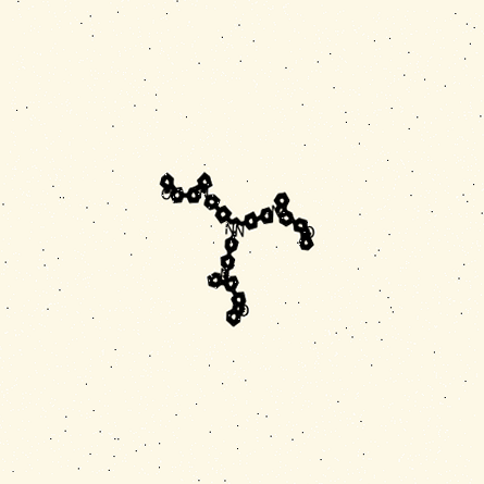 c1ccc2c(c1)oc1ccc(-c3ccc4c(c3)c3ccccc3n4-c3ccc(-c4ccc(-c5cc(-c6ccc(-c7ccc(-n8c9ccccc9c9cc(-c%10ccc%11oc%12ccccc%12c%11c%10)ccc98)cc7)cc6)nc(-c6ccc(-c7ccc(-n8c9ccccc9c9cc(-c%10ccc%11oc%12ccccc%12c%11c%10)ccc98)cc7)cc6)n5)cc4)cc3)cc12